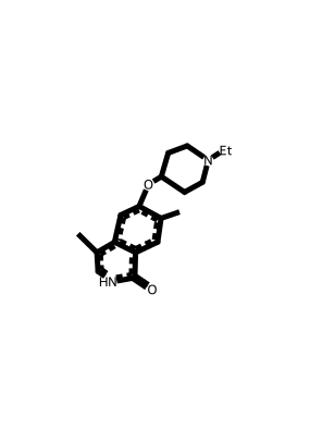 CCN1CCC(Oc2cc3c(C)c[nH]c(=O)c3cc2C)CC1